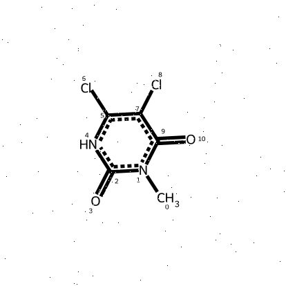 Cn1c(=O)[nH]c(Cl)c(Cl)c1=O